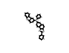 c1ccc(-c2nc3c(ccc4cc(N(c5ccccc5)c5ccc6oc7ccccc7c6c5)ccc43)o2)cc1